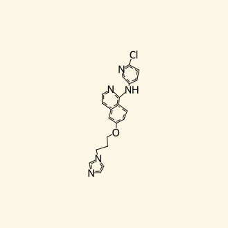 Clc1ccc(Nc2nccc3cc(OCCCn4ccnc4)ccc23)cn1